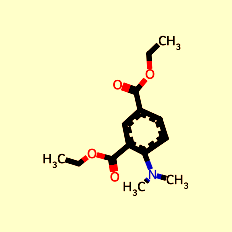 CCOC(=O)c1ccc(N(C)C)c(C(=O)OCC)c1